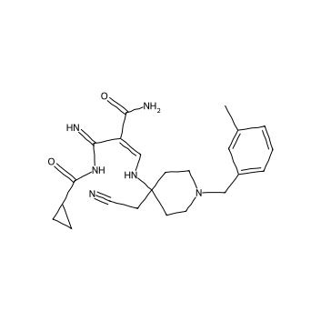 Cc1cccc(CN2CCC(CC#N)(N/C=C(\C(=N)NC(=O)C3CC3)C(N)=O)CC2)c1